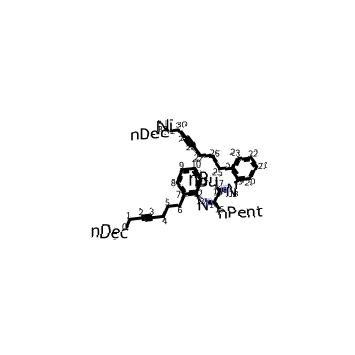 CCCCCCCCCCCC#CCCCc1ccccc1/N=C(CCCCC)\C(CCCC)=N\c1ccccc1CCCC#CCCCCCCCCCCC.[Ni]